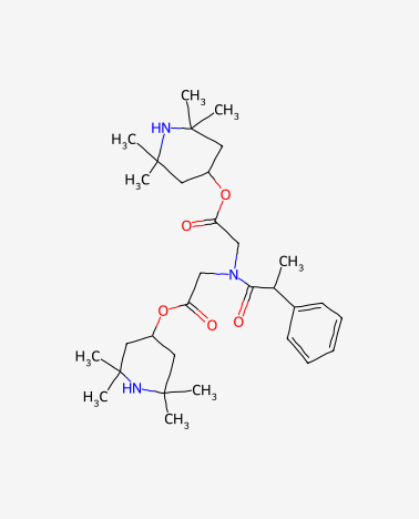 CC(C(=O)N(CC(=O)OC1CC(C)(C)NC(C)(C)C1)CC(=O)OC1CC(C)(C)NC(C)(C)C1)c1ccccc1